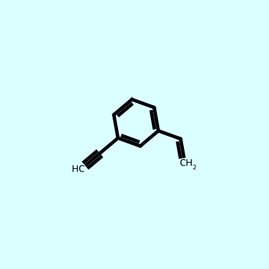 C#Cc1c[c]cc(C=C)c1